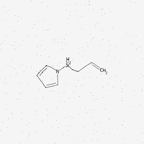 C=CC[SiH2]n1cccc1